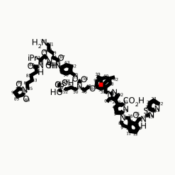 Cc1c(-c2ccc(N3CCc4cccc(C(=O)Nc5nc6ncccc6s5)c4C3)nc2C(=O)O)cnn1CC12CC3(C)CC(C)(C1)CC(OCCN(CCCP(=O)(O)O)C(=O)OCc1ccc(NC(=O)[C@H](CCCN)N(O)C(=O)[C@@H](NC(=O)CCCCCN4C(=O)C=CC4=O)C(C)C)cc1)(C3)C2